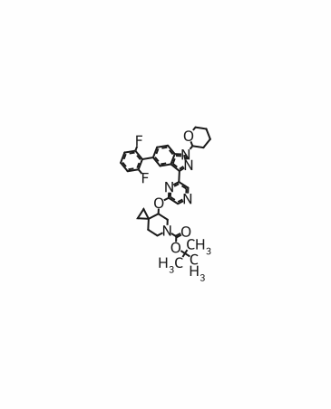 CC(C)(C)OC(=O)N1CCC2(CC2)C(Oc2cncc(-c3nn(C4CCCCO4)c4ccc(-c5c(F)cccc5F)cc34)n2)C1